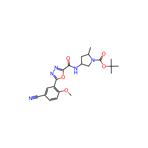 COc1ccc(C#N)cc1-c1nnc(C(=O)NC2CC(C)N(C(=O)OC(C)(C)C)C2)o1